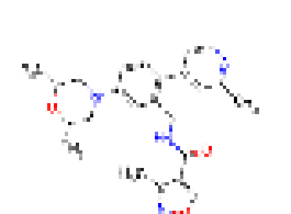 Cc1cc(-c2ccc(N3C[C@@H](C)O[C@@H](C)C3)cc2CNC(=O)c2conc2C)ccn1